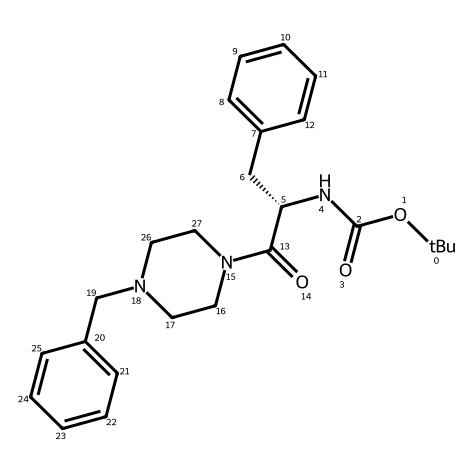 CC(C)(C)OC(=O)N[C@@H](Cc1ccccc1)C(=O)N1CCN(Cc2ccccc2)CC1